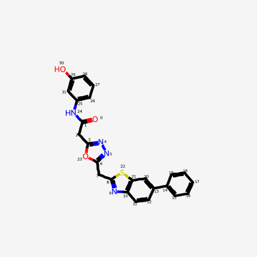 O=C(Cc1nnc(Cc2nc3ccc(-c4ccccc4)cc3s2)o1)Nc1cccc(O)c1